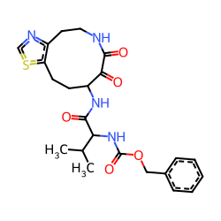 CC(C)C(NC(=O)OCc1ccccc1)C(=O)NC1CCc2scnc2CCNC(=O)C1=O